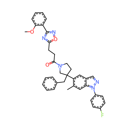 COc1ccccc1-c1noc(CCC(=O)N2CCC(Cc3ccccc3)(c3cc4cnn(-c5ccc(F)cc5)c4cc3C)C2)n1